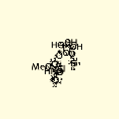 COc1cc(COC[C@H]2O[C@@H](OCC[Si](C)(C)C)[C@H](O)[C@@H](O)[C@@H]2O)cc(Cl)c1NC(=O)c1ccccc1